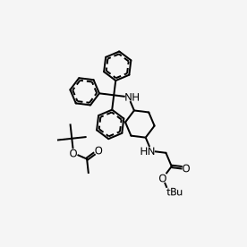 CC(=O)OC(C)(C)C.CC(C)(C)OC(=O)CNC1CCC(NC(c2ccccc2)(c2ccccc2)c2ccccc2)CC1